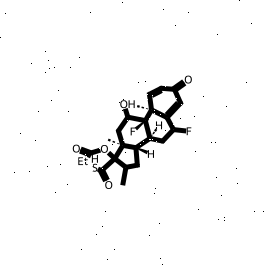 CCC(=O)OC1(C(=O)S)C(C)C[C@H]2[C@@H]3CC(F)C4=CC(=O)C=C[C@]4(C)[C@@]3(F)C(O)C[C@@]21C